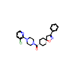 O=C([C@H]1CC[C@]2(CC1)CC(c1ccccc1)=NO2)N1CCN(c2ncccc2Cl)CC1